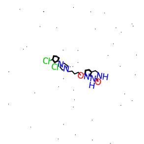 O=C1NCCc2ccc(OCCCCN3CCN(c4cccc(Cl)c4Cl)CC3)nc2N1